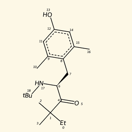 CCC(C)(C)C(=O)[C@H](Cc1c(C)cc(O)cc1C)NC(C)(C)C